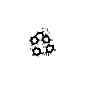 CC(=Cc1ccccc1)c1ccccc1.c1ccc(Nc2ccccc2)cc1